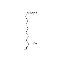 [CH2]CC(CCCCCCCCCCCCCC)C(C)C